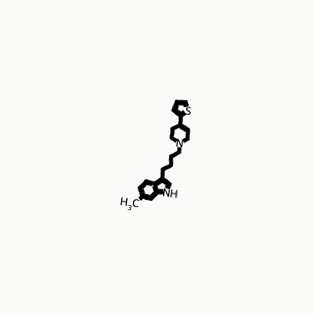 Cc1ccc2c(CCCCN3CC=C(c4cccs4)CC3)c[nH]c2c1